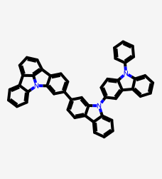 c1ccc(-n2c3ccccc3c3cc(-n4c5ccccc5c5ccc(-c6ccc7c8cccc9c%10ccccc%10n(c7c6)c98)cc54)ccc32)cc1